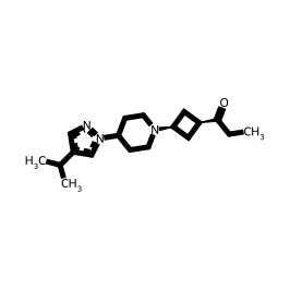 CCC(=O)[C@H]1C[C@@H](N2CCC(n3cc(C(C)C)cn3)CC2)C1